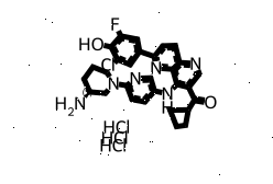 Cl.Cl.Cl.N[C@H]1CCCN(c2ccc(Nc3c(C(=O)C4CCC4)cnc4ccc(-c5cc(F)c(O)c(Cl)c5)nc34)cn2)C1